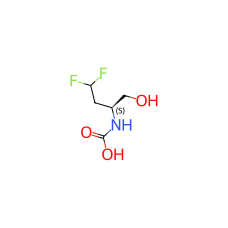 O=C(O)N[C@H](CO)CC(F)F